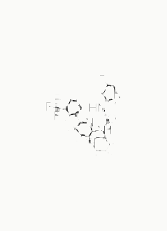 Fc1cncc(NC2OC2N2c3nc(-c4cccc(C(F)(F)F)c4)ccc3N3CCC[C@H]2C3)c1